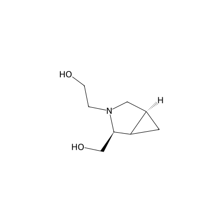 OCCN1C[C@H]2CC2[C@H]1CO